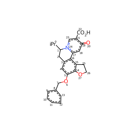 CC(C)C1Cc2cc(OCc3ccccc3)c3c(c2-c2cc(=O)c(C(=O)O)cn21)CCO3